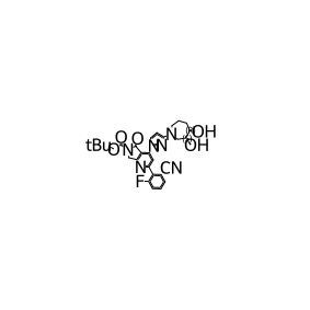 CC(C)(C)OC(=O)N1Cc2nc(-c3c(F)cccc3C#N)cc(-n3ccc(N4CCC[C@@H](O)[C@@H](O)C4)n3)c2C1=O